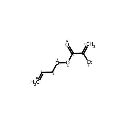 C=CCOOC(=O)C(=C)CC